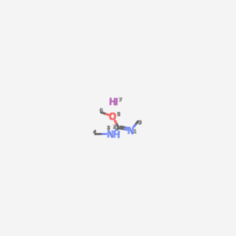 CN=C(NC)OC.I